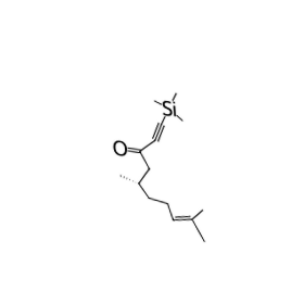 CC(C)=CCC[C@H](C)CC(=O)C#C[Si](C)(C)C